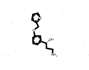 NCC[C@@H](O)c1cccc(OCc2cccs2)c1